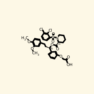 COc1ccc(CC[C@@H](OC(=O)[C@@H]2CCCCN2S(=O)(=O)c2cccc(Cl)c2Cl)c2cccc(OCC(=O)O)c2)cc1OC